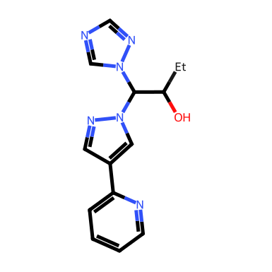 CCC(O)C(n1cncn1)n1cc(-c2ccccn2)cn1